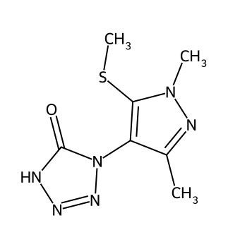 CSc1c(-n2nn[nH]c2=O)c(C)nn1C